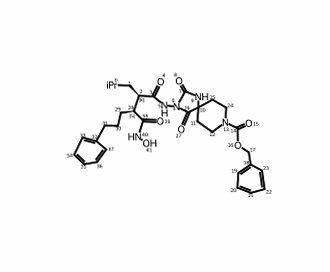 CC(C)C[C@@H](C(=O)NN1C(=O)NC2(CCN(C(=O)OCc3ccccc3)CC2)C1=O)[C@H](CCCc1ccccc1)C(=O)NO